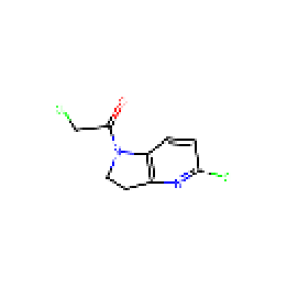 O=C(CCl)N1CCc2nc(Cl)ccc21